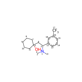 CN(C)C(CC1(O)CCCCC1)c1cccc(C(F)(F)F)c1